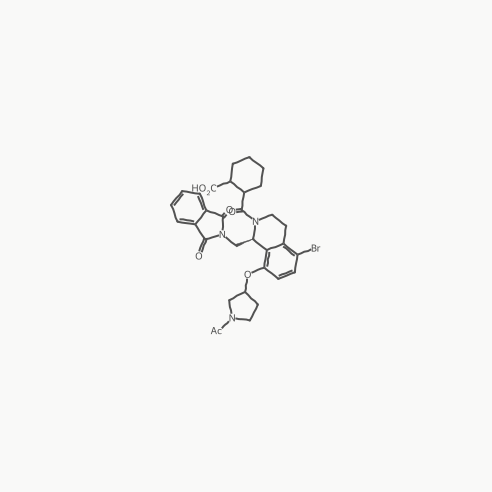 CC(=O)N1CCC(Oc2ccc(Br)c3c2[C@@H](CN2C(=O)c4ccccc4C2=O)N(C(=O)C2CCCCC2C(=O)O)CC3)C1